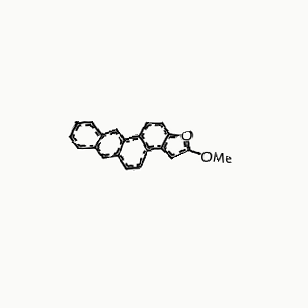 COc1cc2c(ccc3c4cc5ccccc5cc4ccc23)o1